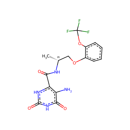 C[C@H](COc1ccccc1OC(F)(F)F)NC(=O)c1[nH]c(=O)[nH]c(=O)c1N